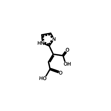 O=C(O)/C=C(\C(=O)O)c1ncc[nH]1